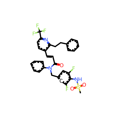 CS(=O)(=O)Nc1c(F)cc(CN(C(=O)C=Cc2ccc(C(F)(F)F)nc2CCc2ccccc2)c2ccccc2)cc1F